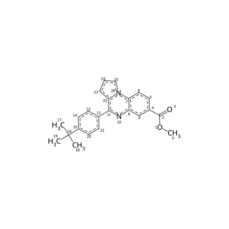 COC(=O)c1ccc2c(c1)nc(-c1ccc(C(C)(C)C)cc1)c1cccn12